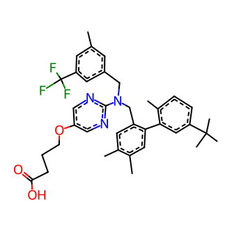 Cc1cc(CN(Cc2cc(C)c(C)cc2-c2cc(C(C)(C)C)ccc2C)c2ncc(OCCCC(=O)O)cn2)cc(C(F)(F)F)c1